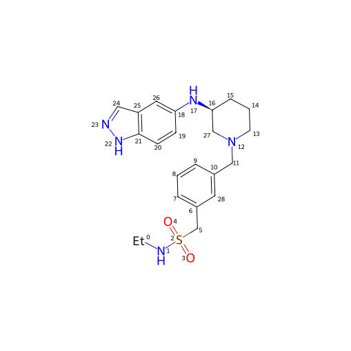 CCNS(=O)(=O)Cc1cccc(CN2CCC[C@H](Nc3ccc4[nH]ncc4c3)C2)c1